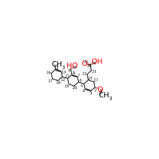 COC1C=CC(C2C=C(CO)C(C3C=C(C)CCC3)CC2)C(CCC(=O)O)C1